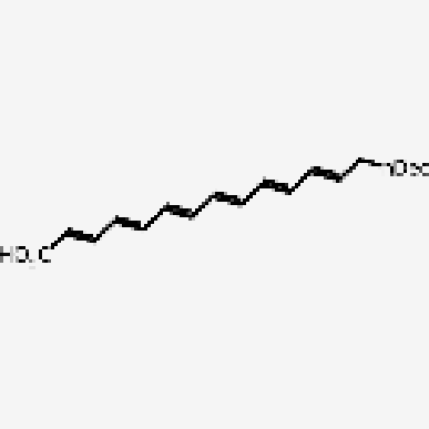 CCCCCCCCCCC/C=C/C=C/C=C/C=C/C=C/C=C/C(=O)O